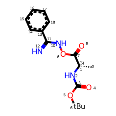 C[C@H](NC(=O)OC(C)(C)C)C(=O)ONC(=N)c1ccccc1